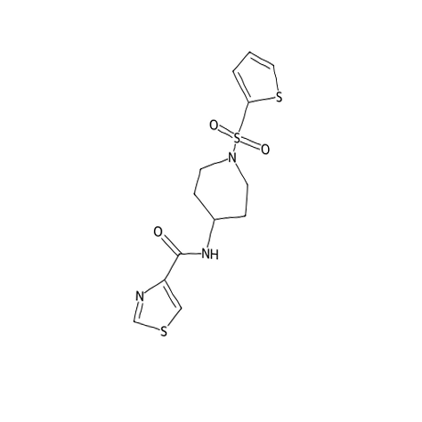 O=C(NC1CCN(S(=O)(=O)c2cccs2)CC1)c1cscn1